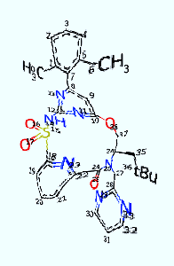 Cc1cccc(C)c1-c1cc2nc(n1)NS(=O)(=O)c1cccc(n1)C(=O)N(Cc1ncccn1)[C@H](CC(C)(C)C)CO2